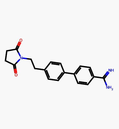 N=C(N)c1ccc(-c2ccc(CCN3C(=O)CCC3=O)cc2)cc1